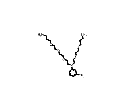 Cc1cccc(N(CCOCCOCCCN)CCOCCOCCOCCCN)c1